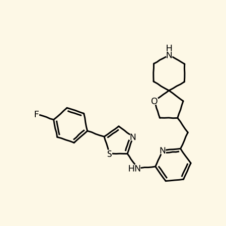 Fc1ccc(-c2cnc(Nc3cccc(CC4COC5(CCNCC5)C4)n3)s2)cc1